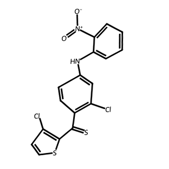 O=[N+]([O-])c1ccccc1Nc1ccc(C(=S)c2sccc2Cl)c(Cl)c1